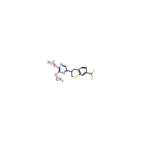 COc1ncc(C2CSc3cc(C(F)F)ccc3C2)nc1OC